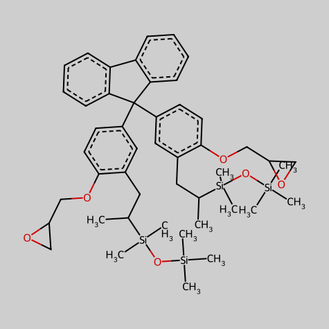 CC(Cc1cc(C2(c3ccc(OCC4CO4)c(CC(C)[Si](C)(C)O[Si](C)(C)C)c3)c3ccccc3-c3ccccc32)ccc1OCC1CO1)[Si](C)(C)O[Si](C)(C)C